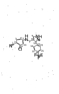 N#Cc1ccc(NCc2c[nH]nc2-c2ccc(C(F)(F)F)cc2)cc1Cl